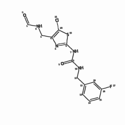 O=CNCc1nc(NC(=O)NCc2cccc(F)c2)sc1Cl